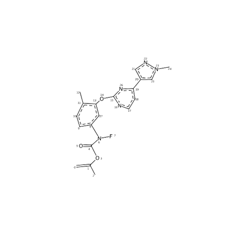 C=C(C)OC(=O)N(F)c1ccc(C)c(Oc2nccc(-c3cnn(C)c3)n2)c1